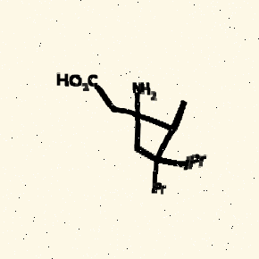 CC(C)C1(C(C)C)CC(N)(CC(=O)O)C1C